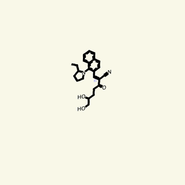 CCC1CCCN1c1c(/C=C(\C#N)C(=O)CCC(O)CO)ccc2ccccc12